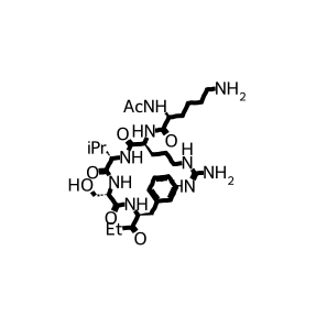 CCC(=O)[C@H](Cc1ccccc1)NC(=O)[C@H](CO)NC(=O)[C@@H](NC(=O)[C@H](CCCNC(=N)N)NC(=O)[C@H](CCCCN)NC(C)=O)C(C)C